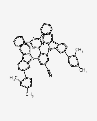 Cc1ccc(-c2ccc3c4ccccc4n(-c4cc(C#N)cc(-n5c6ccccc6c6ccc(-c7ccc(C)cc7C)cc65)c4-c4nc(-c5ccccc5)nc(-c5ccccc5)n4)c3c2)c(C)c1